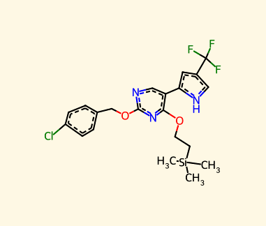 C[Si](C)(C)CCOc1nc(OCc2ccc(Cl)cc2)ncc1-c1cc(C(F)(F)F)c[nH]1